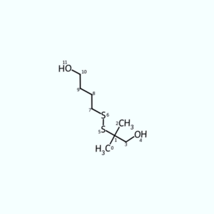 CC(C)(CO)SSCCCCO